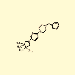 CC1(C)CB(c2ccc(N3CCN(Cc4ccccc4)CC3)nc2)CC1(C)C